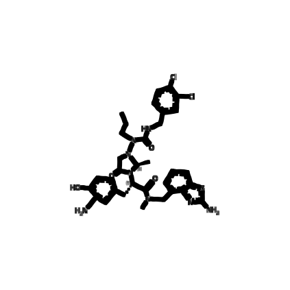 CCCN(C(=O)NCc1ccc(Cl)c(Cl)c1)N1CC(=O)N([C@@H](Cc2ccc(O)c(N)c2)C(=O)N(C)Cc2cccc3sc(N)nc23)[C@@H]1C